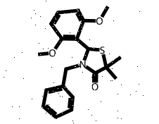 COc1cccc(OC)c1C1SC(C)(C)C(=O)N1Cc1ccccc1